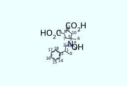 CC(/C=[N+](\O)C(C)(CCC(=O)O)CCC(=O)O)c1ccccc1